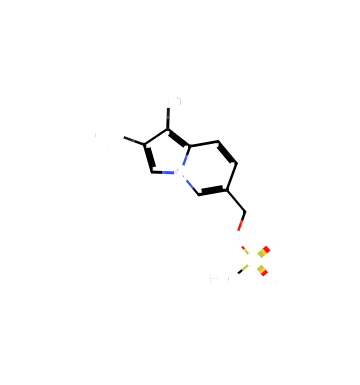 CCOC(=O)c1cn2cc(COS(C)(=O)=O)ccc2c1C(C)C